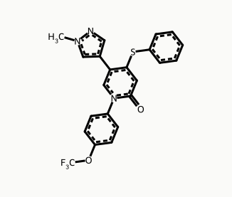 Cn1cc(-c2cn(-c3ccc(OC(F)(F)F)cc3)c(=O)cc2Sc2ccccc2)cn1